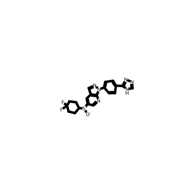 [O-][S+](c1cnc2c(cnn2-c2ccc(-c3nnc[nH]3)cc2)c1)C1CCC(F)(F)CC1